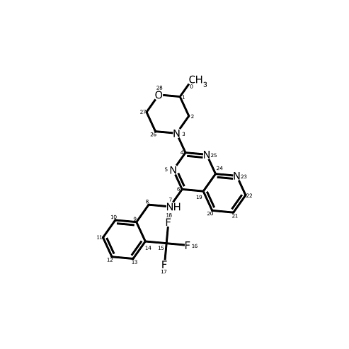 CC1CN(c2nc(NCc3ccccc3C(F)(F)F)c3cccnc3n2)CCO1